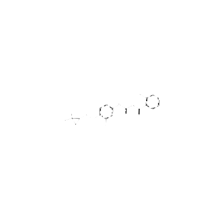 O=C(NC(=O)c1ccccc1Cl)Nc1ccc(OCC2CC2(Cl)Cl)c(Cl)c1